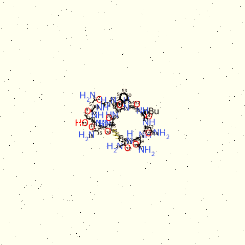 CCCCCCCCCC(=O)N[C@@H](CCN)C(=O)N[C@H](C(=O)N[C@@H](CCN)C(=O)N[C@H]1CSSC[C@H](C(N)=O)NC(=O)[C@H](CCN)NC(=O)[C@H](CCN)NC(=O)[C@H](CCCC)NC(=O)[C@@H](Cc2ccccc2)NC(=O)[C@H](CCN)NC1=O)C(C)O